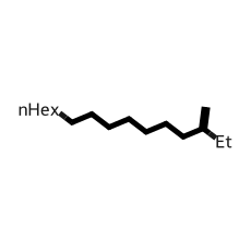 C=C(CC)CCCCCCCCCCCCC